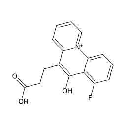 O=C(O)CCc1c(O)c2c(F)cccc2[n+]2ccccc12